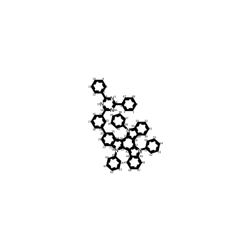 c1ccc(-c2nc(-c3ccccc3)nc(-c3cccc(-c4ccc5c(c4)c4c6c(c7ccccc7n6-c6ccccc6)c6c(c7ccccc7n6-c6ccccc6)c4n5-c4ccccc4)c3)n2)cc1